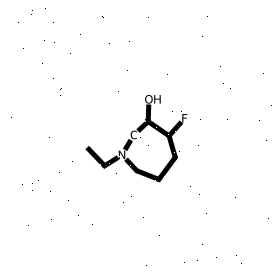 CCN1CCCC(F)C(O)C1